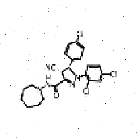 N#C[C@H]1C(C(=O)NN2CCCCCC2)=NN(c2ccc(Cl)cc2Cl)[C@@H]1c1ccc(Cl)cc1